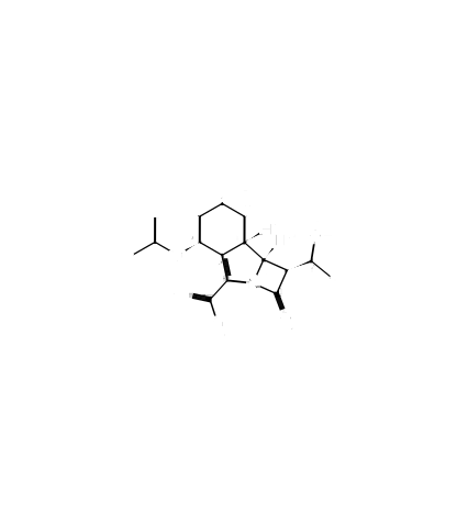 CC(C)O[C@H]1CCC[C@H]2C1=C(C(=O)[O-])N1C(=O)[C@H](C(C)O)[C@@H]21.[K+]